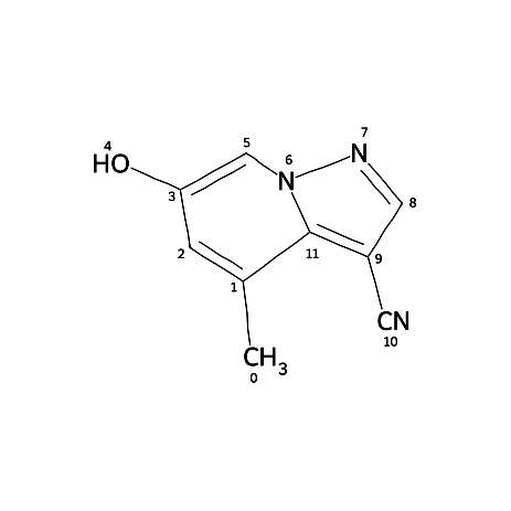 Cc1cc(O)cn2ncc(C#N)c12